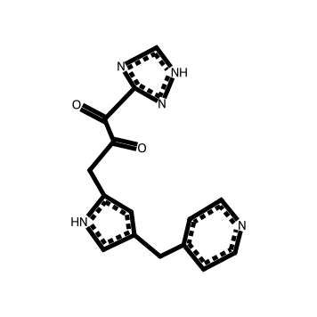 O=C(Cc1cc(Cc2ccncc2)c[nH]1)C(=O)c1nc[nH]n1